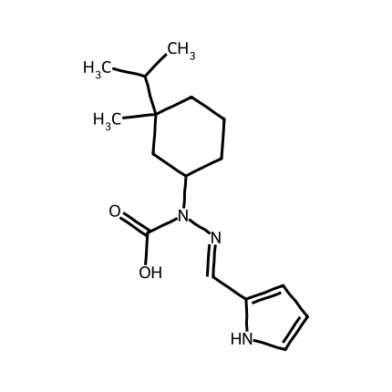 CC(C)C1(C)CCCC(N(N=Cc2ccc[nH]2)C(=O)O)C1